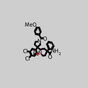 CCN1CCC(C(N)=O)(c2ccccc2)CC1C1(c2ccc(Cl)c(Cl)c2)CCN(C(=O)c2ccc(OC)cc2)C1